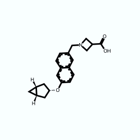 O=C(O)C1CN(Cc2ccc3cc(O[C@@H]4C[C@@H]5C[C@@H]5C4)ccc3c2)C1